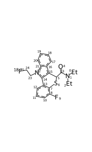 CCN(CC)C(=O)C1Sc2c(F)cccc2-c2c1c1ccccc1n2CC[18F]